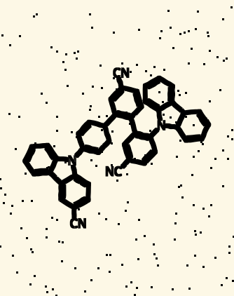 N#Cc1ccc(N2c3ccccc3C3C=CC=CC32)c(-c2ccc(C#N)cc2C2C=CC(n3c4ccccc4c4cc(C#N)ccc43)=CC2)c1